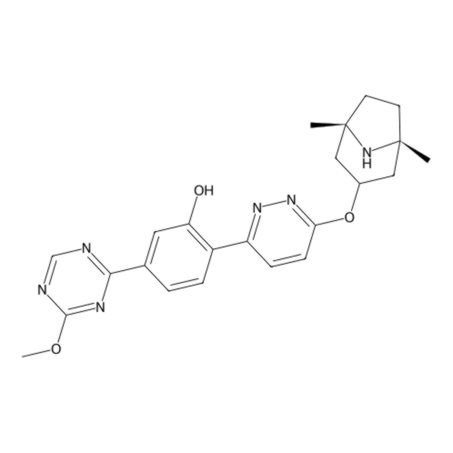 COc1ncnc(-c2ccc(-c3ccc(OC4C[C@]5(C)CC[C@](C)(C4)N5)nn3)c(O)c2)n1